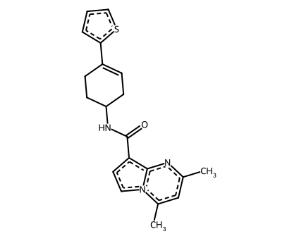 Cc1cc(C)n2ccc(C(=O)NC3CC=C(c4cccs4)CC3)c2n1